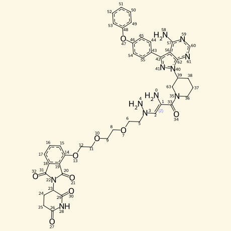 N/C(=C\N(N)CCOCCOCCOc1cccc2c1C(=O)N(C1CCC(=O)NC1=O)C2=O)C(=O)N1CCCC(n2nc(-c3ccc(Oc4ccccc4)cc3)c3c(N)ncnc32)C1